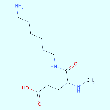 CNC(CCC(=O)O)C(=O)NCCCCCCN